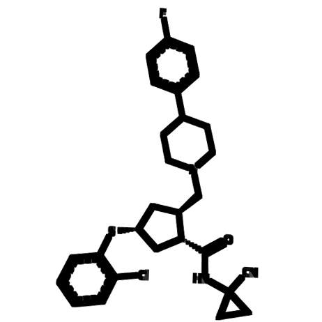 N#CC1(NC(=O)[C@@H]2C[C@H](Sc3ccccc3Cl)C[C@H]2CN2CCC(c3ccc(F)cc3)CC2)CC1